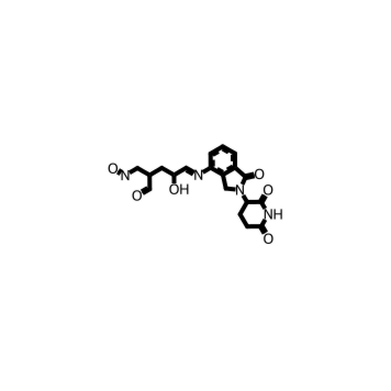 O=CC(CN=O)CC(O)/C=N/c1cccc2c1CN(C1CCC(=O)NC1=O)C2=O